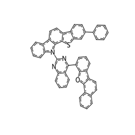 c1ccc(-c2ccc3c(c2)sc2c3ccc3c4ccccc4n(-c4nc(-c5cccc6c5oc5c7ccccc7ccc65)c5ccccc5n4)c32)cc1